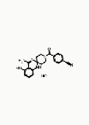 Cl.N#Cc1ccc(C(=O)N2CCC3(CC2)N=C(N)c2c(O)cccc2N3)cc1